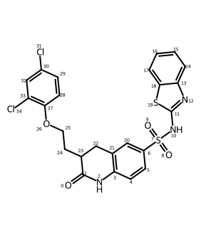 O=C1Nc2ccc(S(=O)(=O)Nc3nc4ccccc4s3)cc2CC1CCOc1ccc(Cl)cc1Cl